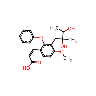 COc1ccc(/C=C\C(=O)O)c(Oc2ccccc2)c1CC(C)(O)C(C)O